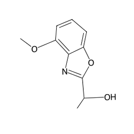 COc1cccc2oc(C(C)O)nc12